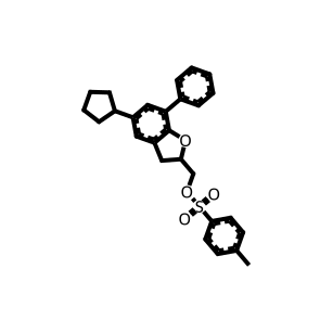 Cc1ccc(S(=O)(=O)OCC2Cc3cc(C4CCCC4)cc(-c4ccccc4)c3O2)cc1